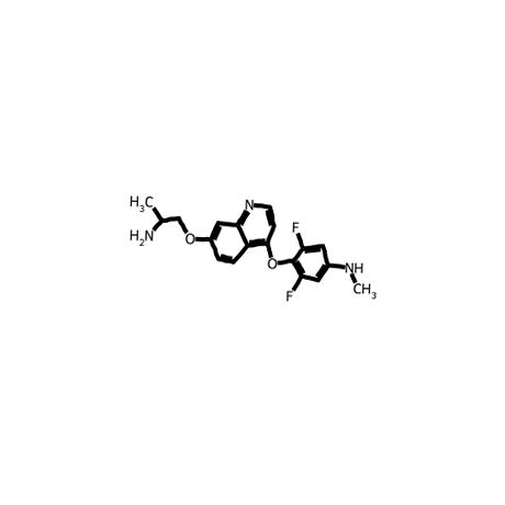 CNc1cc(F)c(Oc2ccnc3cc(OCC(C)N)ccc23)c(F)c1